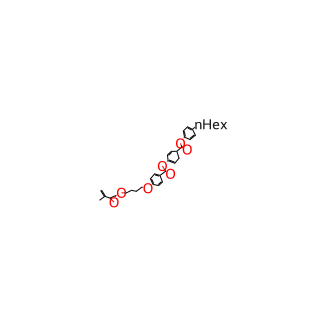 C=C(C)C1OC1OCCCCOc1ccc(C(=O)OC2=CCC(C(=O)Oc3ccc(CCCCCC)cc3)C=C2)cc1